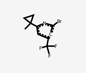 CC1(c2cc(C(F)(F)F)cc(Br)n2)CC1